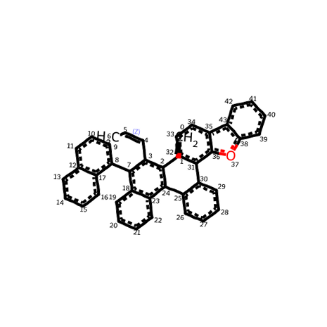 C=Cc1c(/C=C\C)c(-c2cccc3ccccc23)c2ccccc2c1-c1ccccc1-c1cccc2c1oc1ccccc12